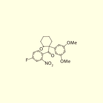 COc1cc(OC)cc(C2(C(=O)c3ccc(F)cc3[N+](=O)[O-])CCCCC2=O)c1